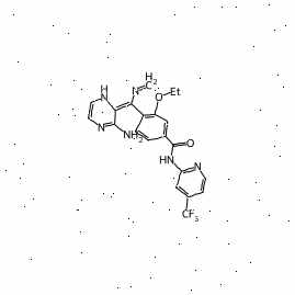 C=N/C(=C1\NC=CN=C1N)c1ccc(C(=O)Nc2cc(C(F)(F)F)ccn2)cc1OCC